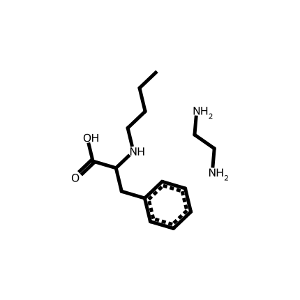 CCCCNC(Cc1ccccc1)C(=O)O.NCCN